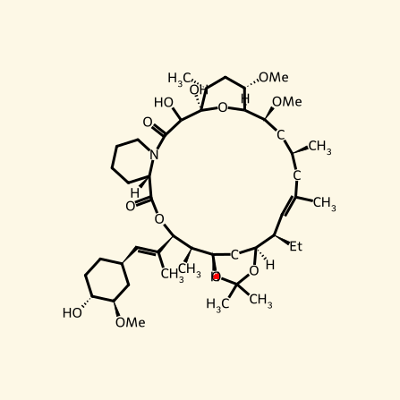 CC[C@@H]1/C=C(\C)C[C@H](C)C[C@H](OC)[C@H]2O[C@@](O)(C(O)C(=O)N3CCCC[C@H]3C(=O)O[C@H](/C(C)=C/[C@@H]3CC[C@@H](O)[C@H](OC)C3)[C@H](C)[C@@H]3C[C@@H]1OC(C)(C)O3)[C@H](C)C[C@@H]2OC